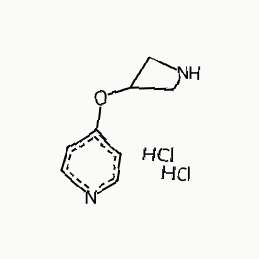 Cl.Cl.c1cc(OC2CNC2)ccn1